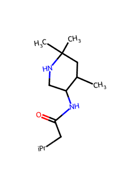 CC(C)CC(=O)NC1CNC(C)(C)CC1C